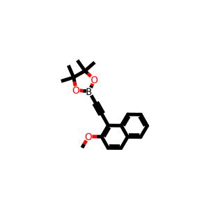 COc1ccc2ccccc2c1C#CB1OC(C)(C)C(C)(C)O1